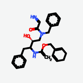 C=C(NC(Cc1ccccc1)[C@H](O)CN(Cc1ccccc1)C(=O)C=N)OCC1=CCCC=C1